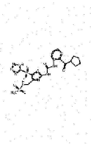 CS(=O)(=O)NCc1nc(NC(=O)Nc2cccnc2C(=O)C2CCCC2)sc1S(=O)(=O)c1nnn[nH]1